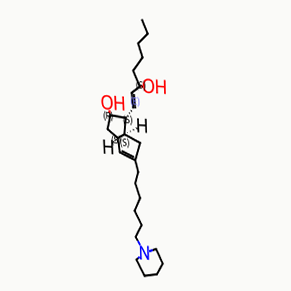 CCCCC[C@H](O)/C=C/[C@@H]1[C@H]2CC(CCCCCCN3CCCCC3)=C[C@H]2C[C@H]1O